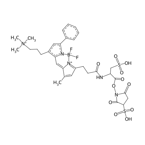 CC1=CC(CCC(=O)NC(CS(=O)(=O)O)C(=O)ON2C(=O)CC(S(=O)(=O)O)C2=O)=[N+]2C1=Cc1c(CCC[N+](C)(C)C)cc(-c3ccccc3)n1[B-]2(F)F